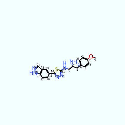 COc1ccc(C[C@H](N)CNc2nnc(-c3ccc4[nH]ncc4c3)s2)cc1